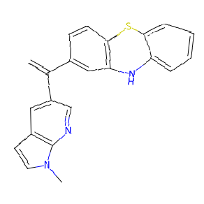 C=C(c1ccc2c(c1)Nc1ccccc1S2)c1cnc2c(ccn2C)c1